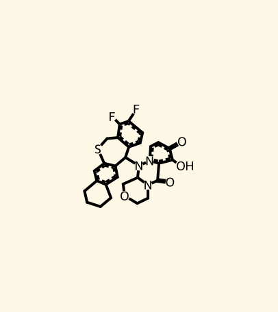 O=C1c2c(O)c(=O)ccn2N(C2c3cc4c(cc3SCc3c2ccc(F)c3F)CCCC4)C2COCCN12